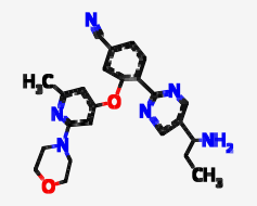 CCC(N)c1cnc(-c2ccc(C#N)cc2Oc2cc(C)nc(N3CCOCC3)c2)nc1